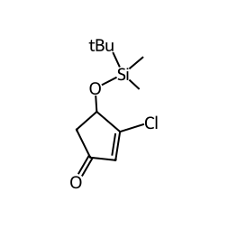 CC(C)(C)[Si](C)(C)OC1CC(=O)C=C1Cl